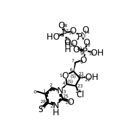 Cc1cn([C@H]2O[C@@H](COP(=O)(O)OP(=O)(O)OP(=O)(O)O)[C@@H](O)C2Cl)c(=O)[nH]c1=S